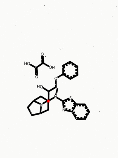 CN(c1nc2ccccc2s1)C1CC2CCC(C1)N2CC(O)COc1ccccc1.O=C(O)C(=O)O